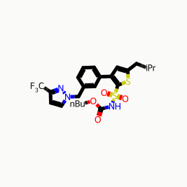 CCCCOC(=O)NS(=O)(=O)c1sc(CC(C)C)cc1-c1cccc(Cn2ccc(C(F)(F)F)n2)c1